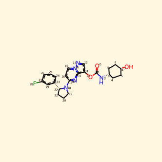 O=C(N[C@H]1CC[C@H](O)CC1)Oc1cnn2ccc(N3CCC[C@@H]3c3cccc(F)c3)nc12